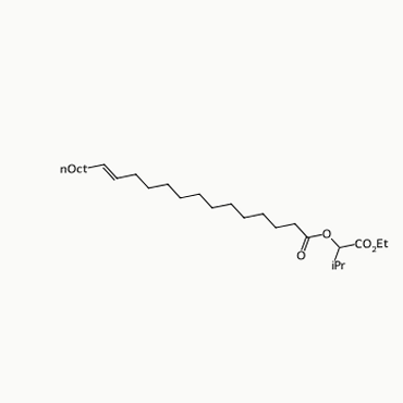 CCCCCCCC/C=C/CCCCCCCCCCCC(=O)OC(C(=O)OCC)C(C)C